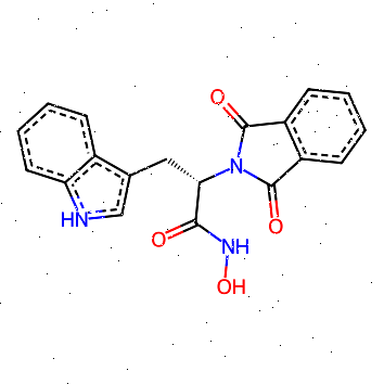 O=C(NO)[C@H](Cc1c[nH]c2ccccc12)N1C(=O)c2ccccc2C1=O